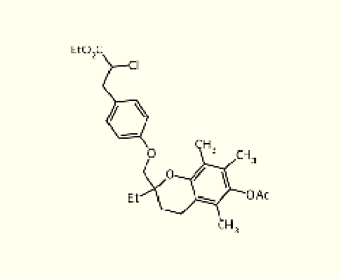 CCOC(=O)C(Cl)Cc1ccc(OCC2(CC)CCc3c(C)c(OC(C)=O)c(C)c(C)c3O2)cc1